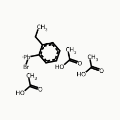 CC(=O)O.CC(=O)O.CC(=O)O.CCc1cccc[c]1[Pb][Br]